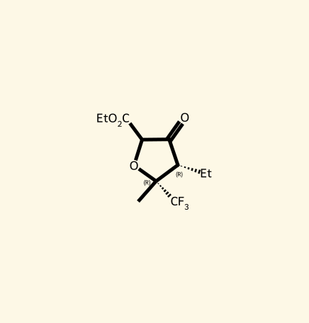 CCOC(=O)C1O[C@@](C)(C(F)(F)F)[C@@H](CC)C1=O